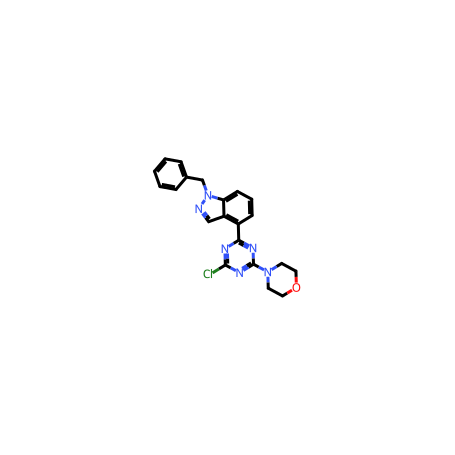 Clc1nc(-c2cccc3c2cnn3Cc2ccccc2)nc(N2CCOCC2)n1